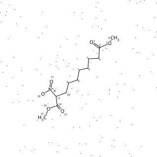 COC(=O)CCCCCCCC(C(=O)OC)[N+](=O)[O-]